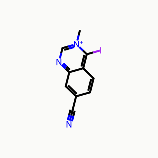 C[n+]1cnc2cc(C#N)ccc2c1I